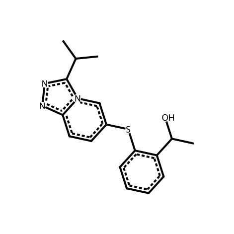 CC(C)c1nnc2ccc(Sc3ccccc3C(C)O)cn12